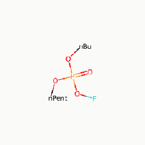 CCCCCOP(=O)(OF)OCCCC